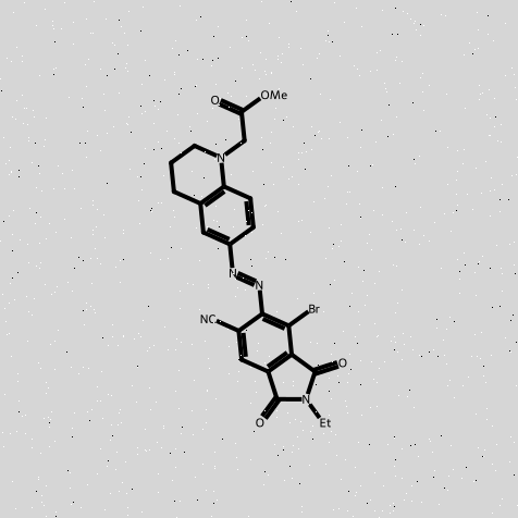 CCN1C(=O)c2cc(C#N)c(/N=N/c3ccc4c(c3)CCCN4CC(=O)OC)c(Br)c2C1=O